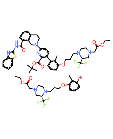 CCOC(=O)CN1CCN(CCCOc2cccc(-c3ccc(N4CCc5cccc(C(=O)Nc6nc7ccccc7s6)c5C4)nc3C(=O)OC(C)(C)C)c2C)[C@H](C(F)(F)F)C1.CCOC(=O)CN1CCN(CCCOc2cccc(Br)c2C)[C@H](C(F)(F)F)C1